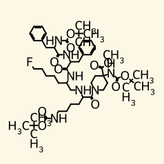 COC(=O)C1(NC(=O)OC(C)(C)C)CCN(C(=O)C(CCCCNC(=O)OC(C)(C)C)NCC(CCCCCF)NC(=O)C(Cc2ccccc2)NC(=O)C(Cc2ccccc2)NC(=O)OC(C)(C)C)CC1